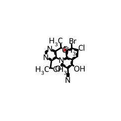 CC(C)c1ncnc(C(C)C)c1-n1c(=O)c(C#N)c(O)c2cc(Cl)c(Br)c(F)c21